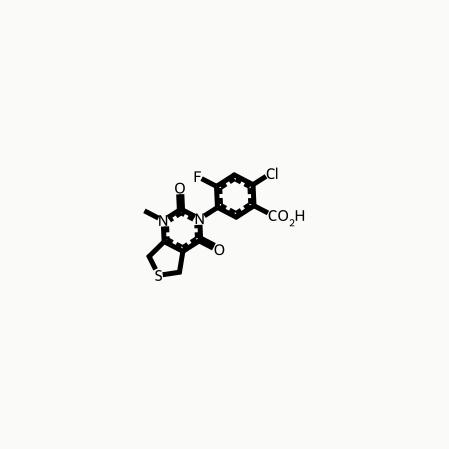 Cn1c2c(c(=O)n(-c3cc(C(=O)O)c(Cl)cc3F)c1=O)CSC2